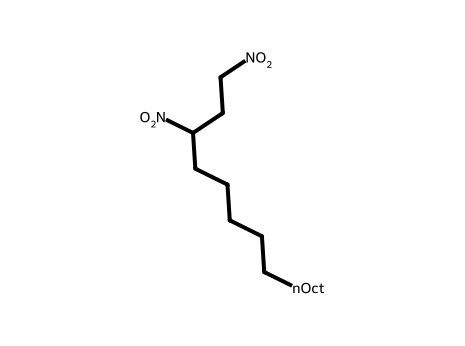 CCCCCCCCCCCCCC(CC[N+](=O)[O-])[N+](=O)[O-]